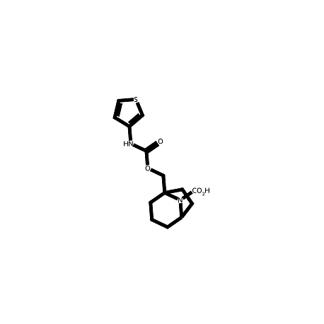 O=C(Nc1ccsc1)OCC12CCCC(CC1)N2C(=O)O